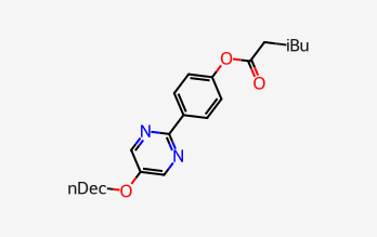 CCCCCCCCCCOc1cnc(-c2ccc(OC(=O)CC(C)CC)cc2)nc1